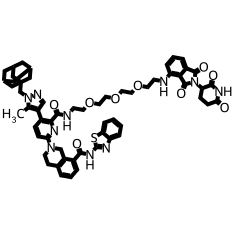 Cc1c(-c2ccc(N3CCc4cccc(C(=O)Nc5nc6ccccc6s5)c4C3)nc2C(=O)NCCOCCOCCOCCNc2cccc3c2C(=O)N(C2CCC(=O)NC2=O)C3=O)cnn1CC12CC3CC(CC(C3)C1)C2